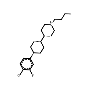 FCCC[Si@H]1CC[C@H]([C@H]2CC[C@H](c3ccc(Cl)c(F)c3)CC2)CC1